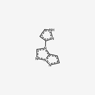 c1cc2n(-c3cc[nH]n3)cnn2n1